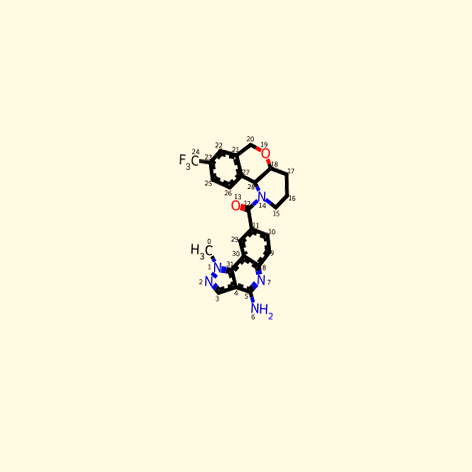 Cn1ncc2c(N)nc3ccc(C(=O)N4CCCC5OCc6cc(C(F)(F)F)ccc6C54)cc3c21